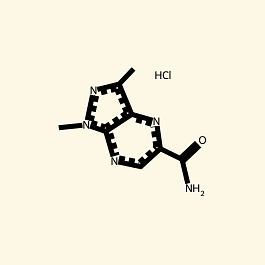 Cc1nn(C)c2ncc(C(N)=O)nc12.Cl